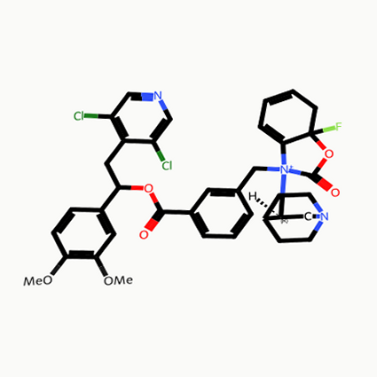 COc1ccc(C(Cc2c(Cl)cncc2Cl)OC(=O)c2cccc(C[N+]3([C@H]4CN5CCC4CC5)C(=O)OC4(F)CC=CC=C43)c2)cc1OC